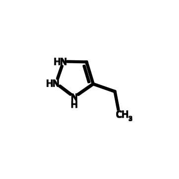 CCC1=CNNN1